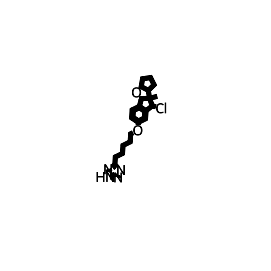 CC1(C2CCCC2)C(=O)c2ccc(OCCCCCc3nn[nH]n3)cc2C1Cl